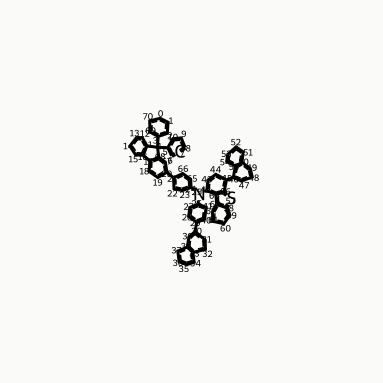 c1ccc(C2(c3ccccc3)c3ccccc3-c3ccc(-c4ccc(N(c5ccc(-c6ccc7ccccc7c6)cc5)c5ccc(-c6cccc7ccccc67)c6sc7ccccc7c56)cc4)cc32)cc1